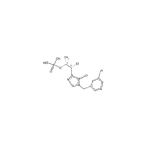 CC[C@@H]([C@@H](C)OP(=O)(O)O)n1ncn(Cc2cncc(C(C)C)c2)c1=O